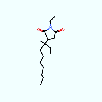 CCCCCCCC(C)(CC)C1CC(=O)N(CC)C1=O